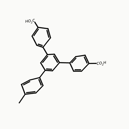 Cc1ccc(-c2cc(-c3ccc(C(=O)O)cc3)cc(-c3ccc(C(=O)O)cc3)c2)cc1